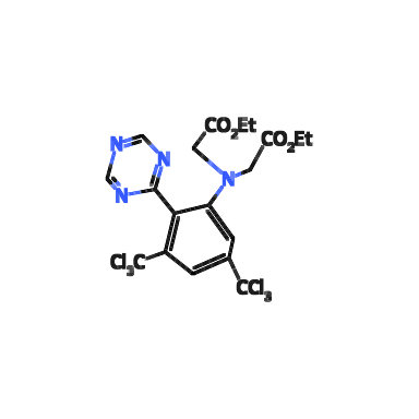 CCOC(=O)CN(CC(=O)OCC)c1cc(C(Cl)(Cl)Cl)cc(C(Cl)(Cl)Cl)c1-c1ncncn1